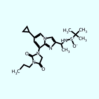 CCCN1C(=O)CN(c2cc(C3CC3)cn3cc(C(C)N[S+]([O-])C(C)(C)C)nc23)C1=O